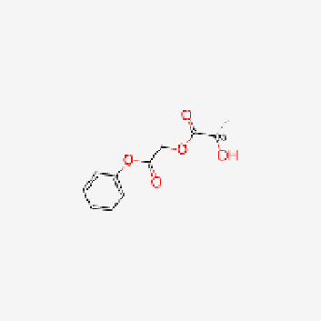 C[C@H](O)C(=O)OCC(=O)Oc1ccccc1